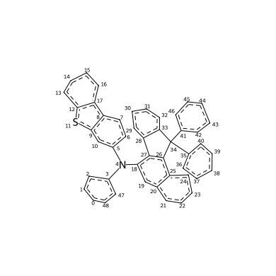 c1ccc(N(c2ccc3c(c2)sc2ccccc23)c2cc3ccccc3c3c2-c2ccccc2C3(c2ccccc2)c2ccccc2)cc1